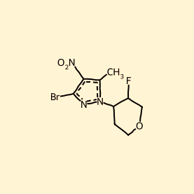 Cc1c([N+](=O)[O-])c(Br)nn1C1CCOCC1F